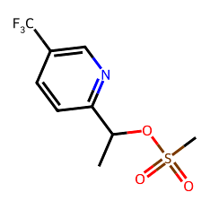 CC(OS(C)(=O)=O)c1ccc(C(F)(F)F)cn1